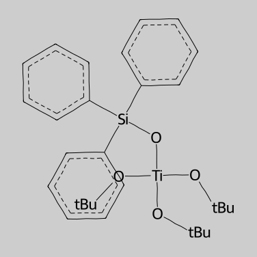 CC(C)(C)[O][Ti]([O]C(C)(C)C)([O]C(C)(C)C)[O][Si](c1ccccc1)(c1ccccc1)c1ccccc1